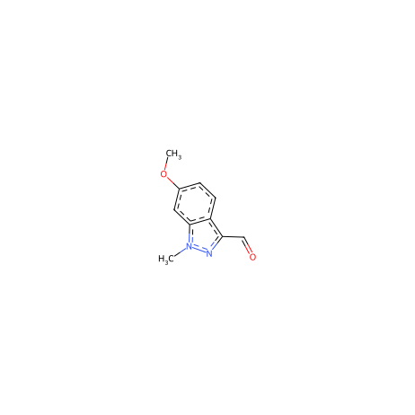 COc1ccc2c(C=O)nn(C)c2c1